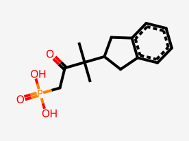 CC(C)(C(=O)CP(=O)(O)O)C1Cc2ccccc2C1